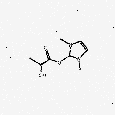 CC(O)C(=O)OC1N(C)C=CN1C